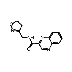 O=C(NCC1=NOCC1)c1cnc2ccccc2n1